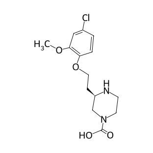 COc1cc(Cl)ccc1OCC[C@@H]1CN(C(=O)O)CCN1